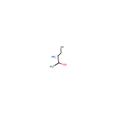 CCCCCC(C)O.N